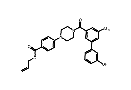 C=CCOC(=O)c1ccc(N2CCN(C(=O)c3cc(-c4cccc(O)c4)cc(C(F)(F)F)c3)CC2)cc1